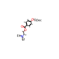 CCCCCCCCCCOc1ccc(C(=O)OCCN(CC)CC)cc1